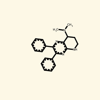 CN(C)C1CCNc2nc(-c3ccccc3)c(-c3ccccc3)nc21